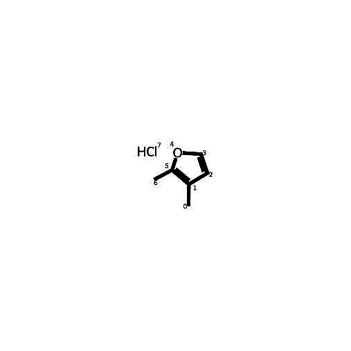 Cc1ccoc1C.Cl